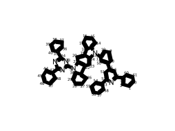 c1ccc(-c2cc(-c3cccc(-n4c5ccccc5c5cc6c(cc54)c4ccccc4n6-c4nc(-c5ccccc5)nc(-c5ccccc5)n4)c3)cc(-c3ccccc3)n2)cc1